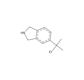 CCC(C)(C)c1ccc2c(c1)CNC2